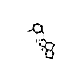 Cc1cccc(C[C@H]2NC[C@@H]3c4ccccc4CCC32)c1